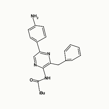 CCC(C)C(=O)Nc1ncc(-c2ccc(N)cc2)nc1Cc1ccccc1